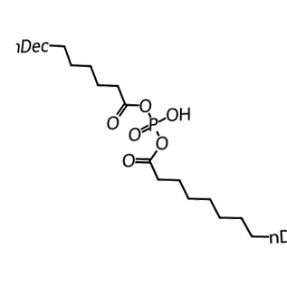 CCCCCCCCCCCCCCCCCC(=O)OP(=O)(O)OC(=O)CCCCCCCCCCCCCCC